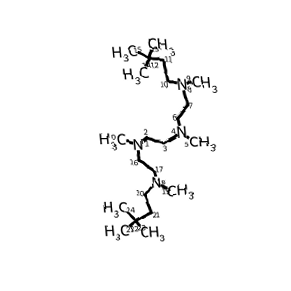 CN(CCN(C)CCN(C)CCC(C)(C)C)CCN(C)CCC(C)(C)C